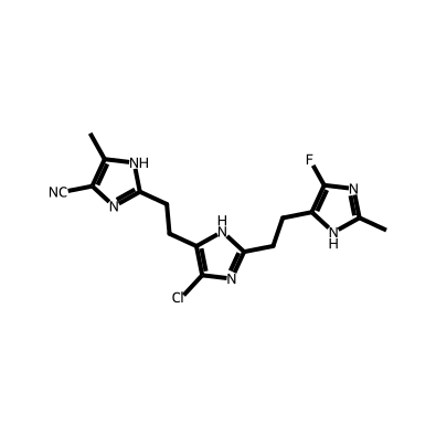 Cc1nc(F)c(CCc2nc(Cl)c(CCc3nc(C#N)c(C)[nH]3)[nH]2)[nH]1